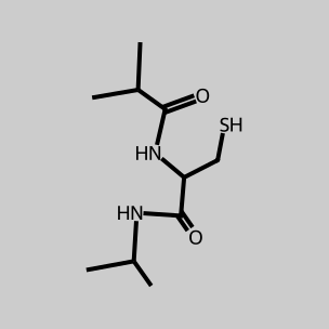 CC(C)NC(=O)C(CS)NC(=O)C(C)C